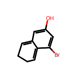 Oc1cc(Br)c2c(c1)=CCCC=2